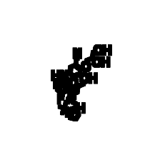 CC1(C)C[C@H](N(CC(O)CO)c2nc(Nc3ccc(OCC(O)CO)c(C#N)c3)ncc2F)C[C@@H]2CCCN21